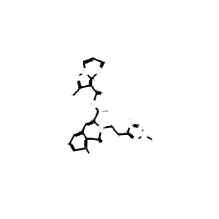 Cc1nn2cccnc2c1C(=O)N[C@@H](C)c1cc2cccc(Cl)c2c(=O)n1CCc1nnn(C)n1